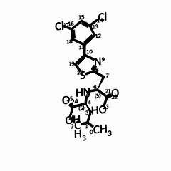 CC(C)C[C@H](N[C@@H](Cc1nc(-c2cc(Cl)cc(Cl)c2)cs1)C(=O)O)C(=O)O